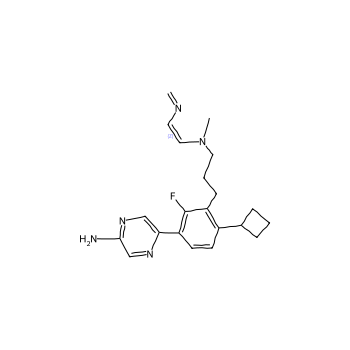 C=N/C=C\N(C)CCCc1c(C2CCC2)ccc(-c2cnc(N)cn2)c1F